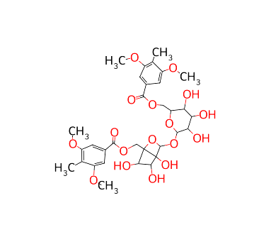 COc1cc(C(=O)OCC2OC(OC3OC4(COC(=O)c5cc(OC)c(C)c(OC)c5)C(O)C(O)C34O)C(O)C(O)C2O)cc(OC)c1C